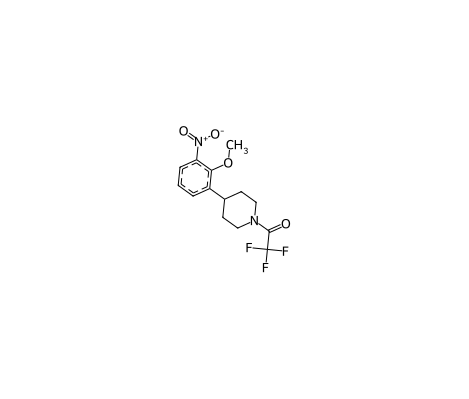 COc1c(C2CCN(C(=O)C(F)(F)F)CC2)cccc1[N+](=O)[O-]